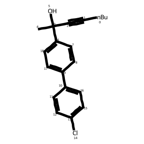 CCCCC#CC(C)(O)c1ccc(-c2ccc(Cl)cc2)cc1